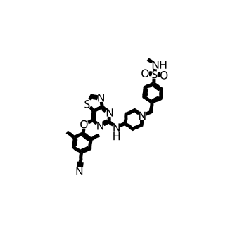 CNS(=O)(=O)c1ccc(CN2CCC(Nc3nc(Oc4c(C)cc(C#N)cc4C)c4scnc4n3)CC2)cc1